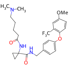 COc1ccc(Oc2ccc(CNC(=O)C3(NC(=O)CCCCN(C)C)CC3)cc2)c(C(F)(F)F)c1